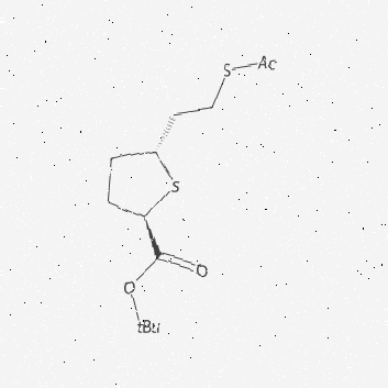 CC(=O)SCC[C@H]1CC[C@H](C(=O)OC(C)(C)C)S1